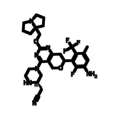 Cc1cc(N)c(F)c(C2Cc3nc(OCC45CCCN4CCC5)nc(N4CCN[C@@H](CC#N)C4)c3CO2)c1C(F)(F)F